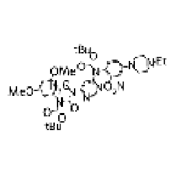 CCN1CCN(c2ccc(N(C(=O)OC(C)(C)C)c3cc(N(C)C(=O)N(C(=O)OC(C)(C)C)c4cc(OC)cc(OC)c4)ncn3)c([N+](=O)[O-])c2)CC1